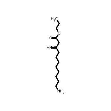 CCCOC(=O)CC(=N)CCCCCCCCN